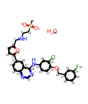 CS(=O)(=O)CCNCc1ccc(-c2ccc3ncnc(Nc4ccc(OCc5cccc(F)c5)c(Cl)c4)c3c2)o1.O